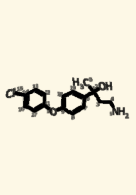 CC(O)(CCN)c1ccc(Oc2ccc(Cl)cc2)cc1